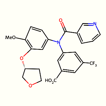 COc1ccc(N(C(=O)c2cccnc2)c2cc(C(=O)O)cc(C(F)(F)F)c2)cc1O[C@@H]1CCOC1